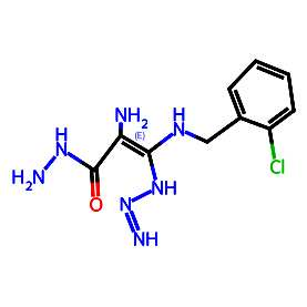 N=NN/C(NCc1ccccc1Cl)=C(/N)C(=O)NN